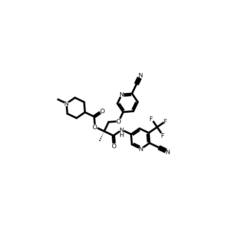 CN1CCC(C(=O)O[C@@](C)(COc2ccc(C#N)nc2)C(=O)Nc2cnc(C#N)c(C(F)(F)F)c2)CC1